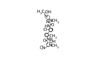 Cc1c(NC(=O)C2=CC(CN3CCCC3)=CN(C)C2O)cccc1-c1cc#cc(NC(=O)c2nc3c(n2C)CCN(C[C@H](C)O)C3)c1Cl